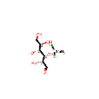 O=C[C@H](O)[C@@H](O)[C@H](O)[C@H](O)CO.[CaH2].[Cl][Ca][Cl]